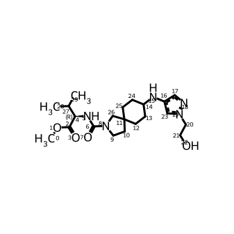 COC(=O)[C@H](NC(=O)N1CCC2(CCC(Nc3cnn(CCO)c3)CC2)C1)C(C)C